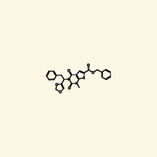 Cn1c(=O)n(C(Cc2ccccc2)C2=COCO2)c(=O)c2cc(C(=O)OCc3ccccc3)sc21